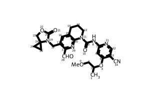 COCC(C)Oc1cc(NC(=O)N2CCCc3cc(CN4C(=O)OCC45CC5)c(C=O)nc32)ncc1C#N